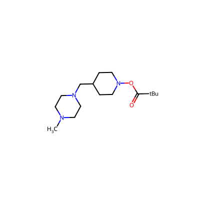 CN1CCN(CC2CCN(OC(=O)C(C)(C)C)CC2)CC1